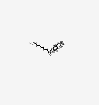 CCCCCCCCCS(=O)(=O)Nc1ccc(CP(=O)(O)O)cc1